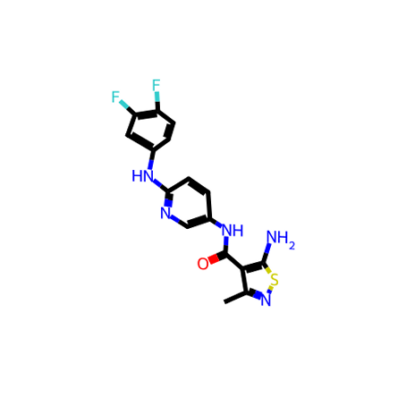 Cc1nsc(N)c1C(=O)Nc1ccc(Nc2ccc(F)c(F)c2)nc1